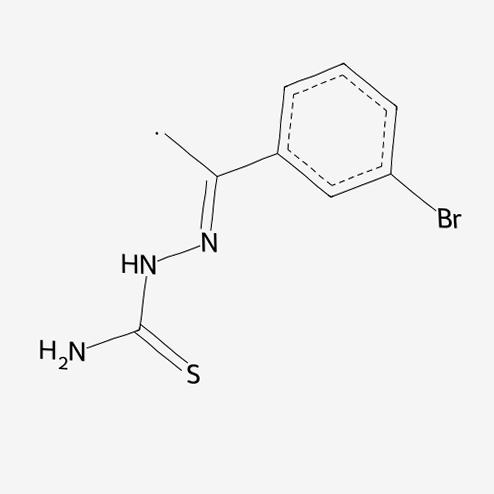 [CH2]C(=NNC(N)=S)c1cccc(Br)c1